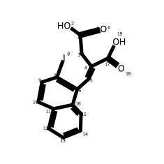 O=C(O)CC(=Cc1c(I)ccc2ccccc12)C(=O)O